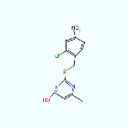 Cc1cc(O)nc(SCc2ccc([N+](=O)[O-])cc2Cl)n1